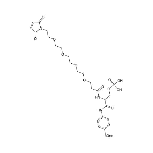 CCCCCCCCCCc1ccc(NC(=O)C(COP(=O)(O)O)NC(=O)CCOCCOCCOCCOCCN2C(=O)C=CC2=O)cc1